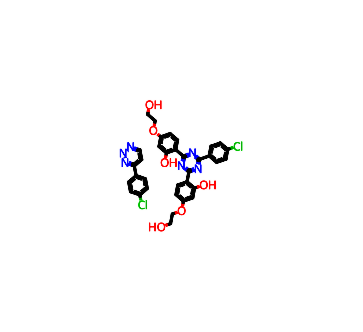 Clc1ccc(-c2ccnnn2)cc1.OCCOc1ccc(-c2nc(-c3ccc(Cl)cc3)nc(-c3ccc(OCCO)cc3O)n2)c(O)c1